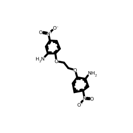 Nc1cc([N+](=O)[O-])ccc1OCCOc1ccc([N+](=O)[O-])cc1N